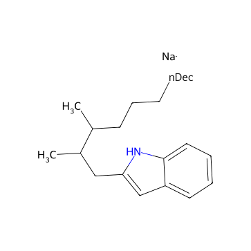 CCCCCCCCCCCCCC(C)C(C)Cc1cc2ccccc2[nH]1.[Na]